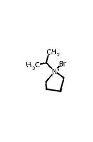 CC(C)[N+]1(Br)CCCC1